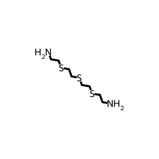 NCCSCCSCCSCCN